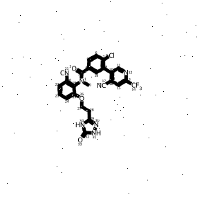 CN(C(=O)c1ccc(Cl)c(-c2cnc(C(F)(F)F)cc2C#N)c1)c1c(C#N)cccc1OCCc1n[nH]c(=O)[nH]1